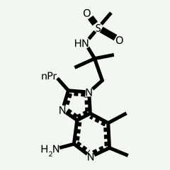 CCCc1nc2c(N)nc(C)c(C)c2n1CC(C)(C)NS(C)(=O)=O